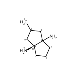 CC1CC2(N)CCC[C@]2(N)C1